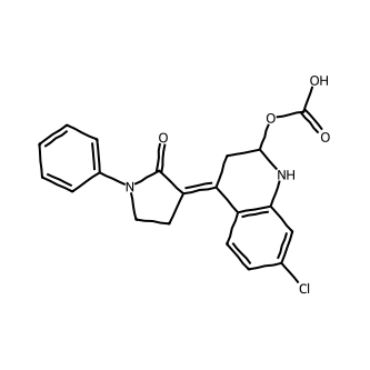 O=C(O)OC1CC(=C2CCN(c3ccccc3)C2=O)c2ccc(Cl)cc2N1